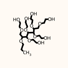 CCCOC(COCCO)C(OCCO)C(OCCO)C(OCCO)C(COCCO)OCCO